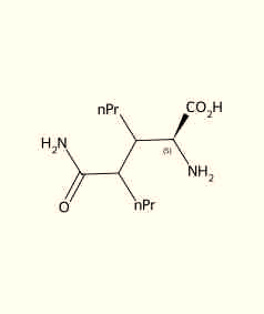 CCCC(C(N)=O)C(CCC)[C@H](N)C(=O)O